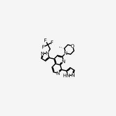 C[C@@H]1COCCN1c1cc(-c2ccnn2CC(F)(F)F)c2ccnc(-c3ccn[nH]3)c2n1